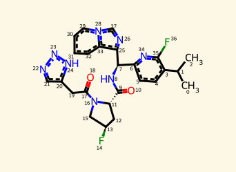 CC(C)c1ccc([C@@H](NC(=O)[C@@H]2C[C@@H](F)CN2C(=O)Cc2cnn[nH]2)c2ncn3ccccc23)nc1F